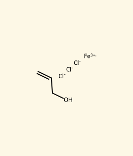 C=CCO.[Cl-].[Cl-].[Cl-].[Fe+3]